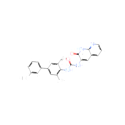 Cc1cccc(-c2cc(C(C)C)c(NC(=O)Nc3cc4cccnc4[nH]c3=O)c(C(C)C)c2)c1